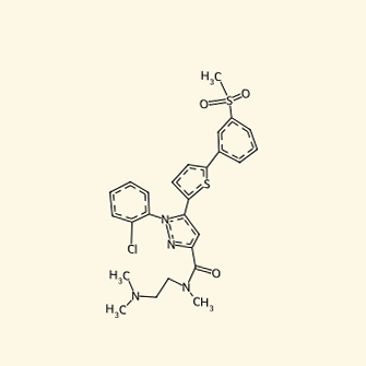 CN(C)CCN(C)C(=O)c1cc(-c2ccc(-c3cccc(S(C)(=O)=O)c3)s2)n(-c2ccccc2Cl)n1